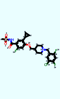 CS(=O)(=O)NC(=O)c1cc(C2CC2)c(OCC2CCN(Cc3cc(Cl)c(F)cc3F)CC2)cc1F